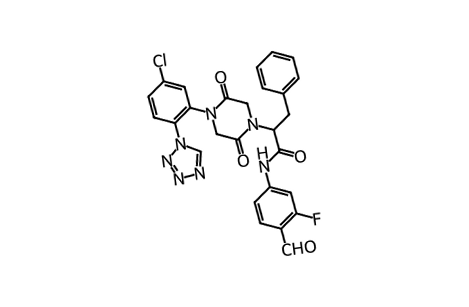 O=Cc1ccc(NC(=O)C(Cc2ccccc2)N2CC(=O)N(c3cc(Cl)ccc3-n3cnnn3)CC2=O)cc1F